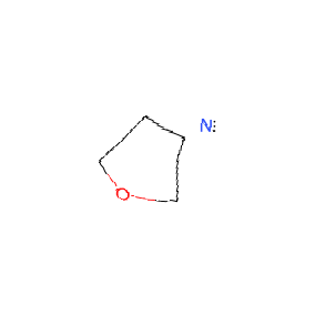 C1CCOC1.[N]